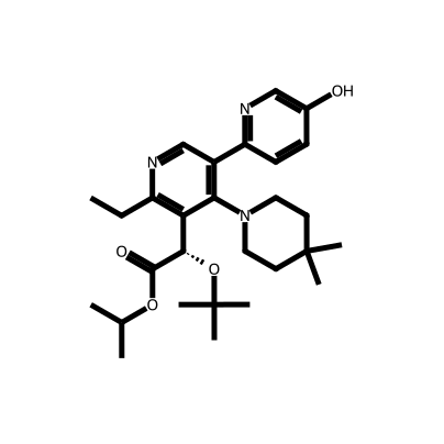 CCc1ncc(-c2ccc(O)cn2)c(N2CCC(C)(C)CC2)c1[C@H](OC(C)(C)C)C(=O)OC(C)C